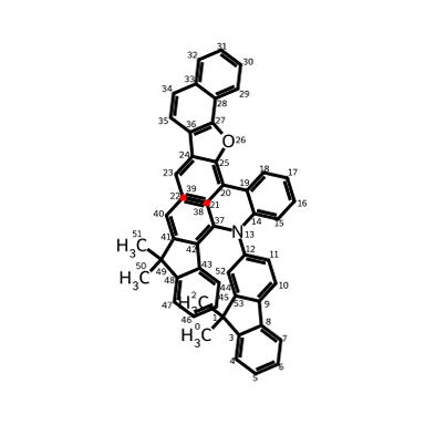 CC1(C)c2ccccc2-c2ccc(N(c3ccccc3-c3cccc4c3oc3c5ccccc5ccc43)c3cccc4c3-c3ccccc3C4(C)C)cc21